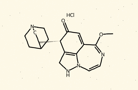 COC1=NC=CN2NCC3=C2C1=CC(=O)[C@H]3C1CN2CCC1CC2.Cl